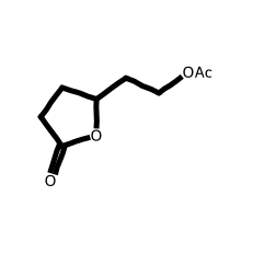 CC(=O)OCCC1CCC(=O)O1